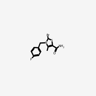 CC1=C(C(N)=O)SC(Br)N1Cc1ccc(F)cc1